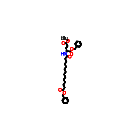 CC(C)(C)OC(=O)CC[C@H](NC(=O)CCCCCCCCCCCCC(=O)OCc1ccccc1)C(=O)OCc1ccccc1